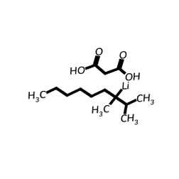 O=C(O)CC(=O)O.[Li][C](C)(CCCCCC)C(C)C